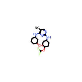 N#Cc1cnc(NC2CCC(OC(F)F)CC2)nc1NC1CCCC(O)C1